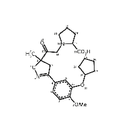 COc1ccc(C2=NOC(C)(C(=O)CN3CCCC3C(=O)O)C2)cc1OC1CCCC1